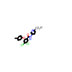 Cc1ccc(Oc2cc(Cl)c(Cl)cc2C(=O)Nc2ccc(C(=O)O)nc2)cc1